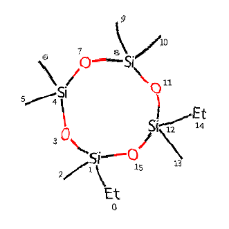 CC[Si]1(C)O[Si](C)(C)O[Si](C)(C)O[Si](C)(CC)O1